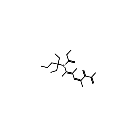 C=C(C)C(=C)/C(C)=C\C(C)=C(/C)N(C(=C)CC)C(CC)(CC)CCC